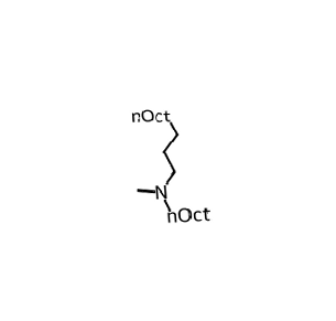 CCCCCCCCCCCN(C)CCCCCCCC